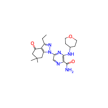 CCc1nn(-c2cnc(C(N)=O)c(NC3CCOCC3)n2)c2c1C(=O)CC(C)(C)C2